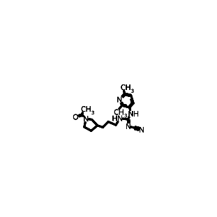 CC(=O)N1CCC(CCCN/C(=N/C#N)Nc2ccc(C)nc2C)C1